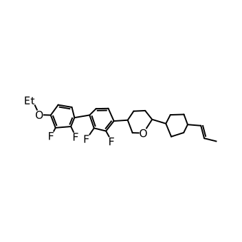 C/C=C/C1CCC(C2CCC(c3ccc(-c4ccc(OCC)c(F)c4F)c(F)c3F)CO2)CC1